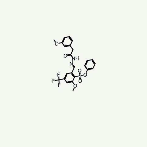 COc1cccc(CC(=O)N/N=C/c2cc(C(F)(F)F)cc(OC)c2S(=O)(=O)Oc2ccccc2)c1